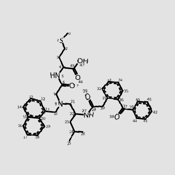 CSCCC(NC(=O)CN(Cc1cccc2ccccc12)CC(CC(C)C)NC(=O)Cc1ccccc1C(=O)c1ccccc1)C(=O)O